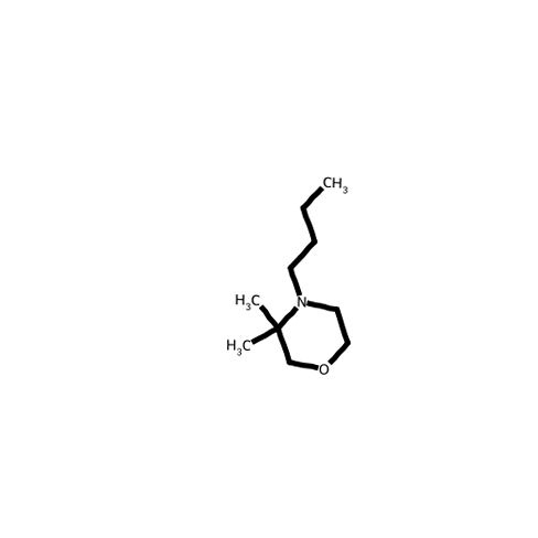 CCCCN1CCOCC1(C)C